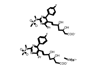 CC(C)c1nc(N(C)S(C)(=O)=O)nc(-c2ccc(F)cc2)c1C=C[C@@H](O)C[C@@H](O)CC(=O)[O-].CC(C)c1nc(N(C)S(C)(=O)=O)nc(-c2ccc(F)cc2)c1C=C[C@@H](O)C[C@@H](O)CC(=O)[O-].CNC.[Ca+2]